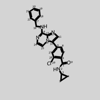 O=C(NC1CC1)c1ccc(-c2cnc3c(NCc4ccccc4)nccn23)cc1Cl